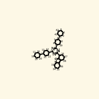 c1ccc(-c2ccc(-c3nc(-c4ccc(-c5ccccc5)cc4)nc(-c4cccc5c4sc4ccccc45)n3)cc2)cc1